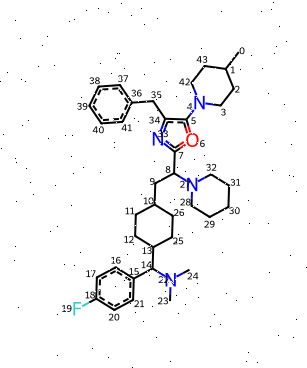 CC1CCN(c2oc(C(CC3CCC(C(c4ccc(F)cc4)N(C)C)CC3)N3CCCCC3)nc2Cc2ccccc2)CC1